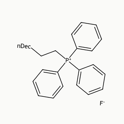 CCCCCCCCCCCC[P+](c1ccccc1)(c1ccccc1)c1ccccc1.[F-]